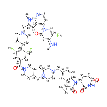 CNc1cc(=O)n(-c2ccnc3c2cc(CN2CCC(c4c(F)cc(C(=O)N5CCC(CN6CCN(Cc7ccc8c(c7)C7(CC7)C(=O)N8C7CCC(=O)NC7=O)C[C@@H]6C)CC5)cc4F)CC2)n3C)cc1F